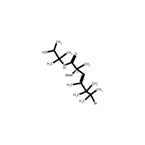 CN[C@@](C)(/C=C(\C)C(C)(C)C(C)(C)Br)C(=O)NC(C)(C)C(C)O